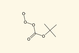 CC(C)(C)OC(=O)OO[O]